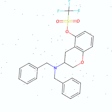 O=S(=O)(Oc1cccc2c1CC(N(Cc1ccccc1)Cc1ccccc1)CO2)C(F)(F)F